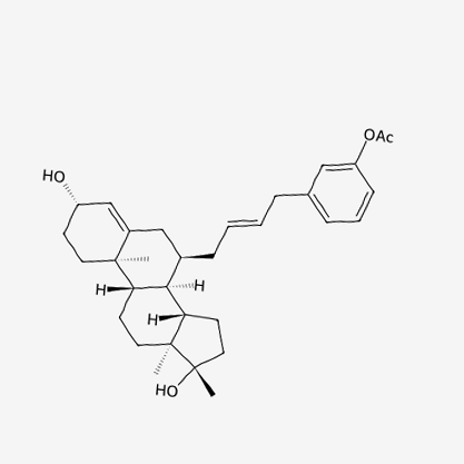 CC(=O)Oc1cccc(CC=CC[C@@H]2CC3=C[C@@H](O)CC[C@]3(C)[C@H]3CC[C@@]4(C)[C@@H](CC[C@]4(C)O)[C@H]23)c1